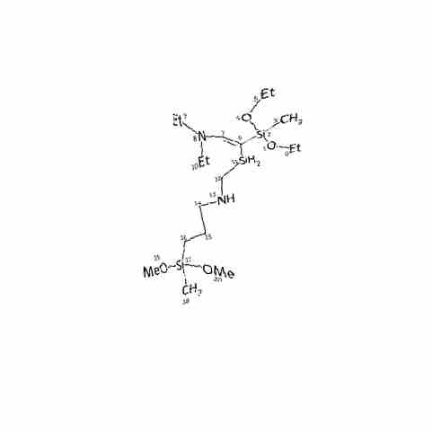 CCO[Si](C)(OCC)C(=CN(CC)CC)[SiH2]CNCCC[Si](C)(OC)OC